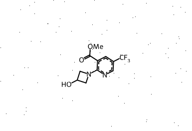 COC(=O)c1cc(C(F)(F)F)cnc1N1CC(O)C1